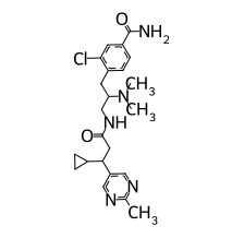 Cc1ncc(C(CC(=O)NCC(Cc2ccc(C(N)=O)cc2Cl)N(C)C)C2CC2)cn1